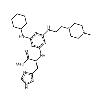 COC(=O)[C@H](Cc1c[nH]cn1)Nc1nc(NCCN2CCN(C)CC2)nc(NC2CCCCC2)n1